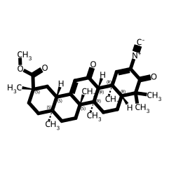 [C-]#[N+]C1=C[C@]2(C)[C@H]3C(=O)C=C4[C@H]5C[C@@](C)(C(=O)OC)CC[C@]5(C)CC[C@@]4(C)[C@]3(C)CC[C@H]2C(C)(C)C1=O